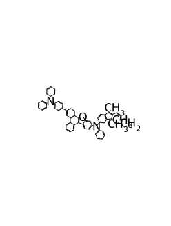 C=C/C=C\C1=C(C)c2ccc(N(c3ccccc3)c3ccc4c(c3)oc3c5c(c6ccccc6c34)C=C(c3ccc(N(c4ccccc4)C4C=CC=CC4)cc3)CC5)cc2C1(C)C